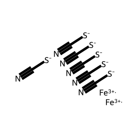 N#C[S-].N#C[S-].N#C[S-].N#C[S-].N#C[S-].N#C[S-].[Fe+3].[Fe+3]